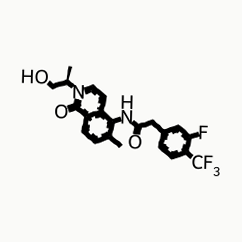 Cc1ccc2c(=O)n([C@H](C)CO)ccc2c1NC(=O)Cc1ccc(C(F)(F)F)c(F)c1